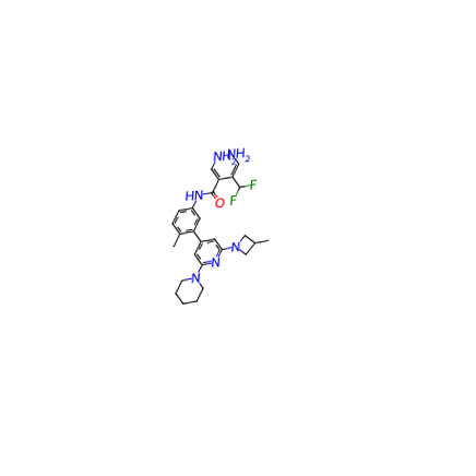 Cc1ccc(NC(=O)C(=C/N)/C(=C\N)C(F)F)cc1-c1cc(N2CCCCC2)nc(N2CC(C)C2)c1